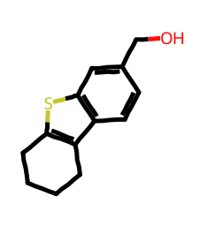 OCc1ccc2c3c(sc2c1)CCCC3